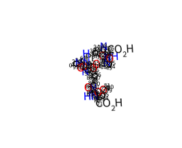 Cc1ccn([C@@H](CC(C)C)C(=O)N[C@@H](CC(=O)OCC(C)C[C@H](C(=O)N[C@H](CC(=O)O)c2cncc(-c3c(C)cccc3C)c2)n2ccccc2=O)c2cncc(-c3c(C)ccc(-c4ccn(C(CC(C)C)C(=O)N[C@@H](CC(=O)O)c5cccc(OC6CCC6)c5)c(=O)c4)c3C)c2)c(=O)c1